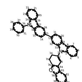 C1=C(n2c3ccccc3c3ccc(-c4ccc5c(c4)c4ccccc4n5-c4ccccc4)cc32)CCc2oc3ccccc3c21